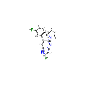 Fc1ccc([C@H]2CCCN2c2ccc3nc(F)[c]n3n2)cc1